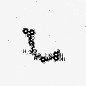 CN(CCCC(=O)Nc1ccc(CNC[C@H](O)c2ccc(O)c3[nH]c(=O)ccc23)cc1)C(=O)CCN1CCC(OC(=O)Nc2ccccc2-c2ccccc2)CC1